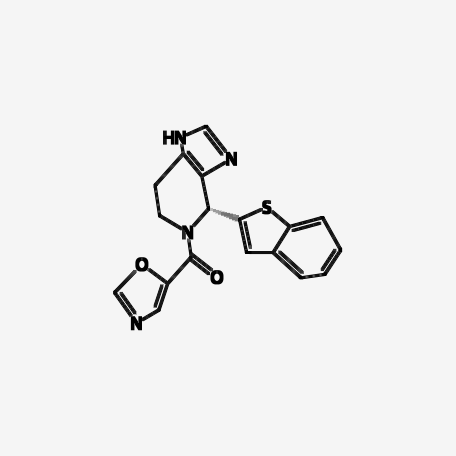 O=C(c1cnco1)N1CCc2[nH]cnc2[C@@H]1c1cc2ccccc2s1